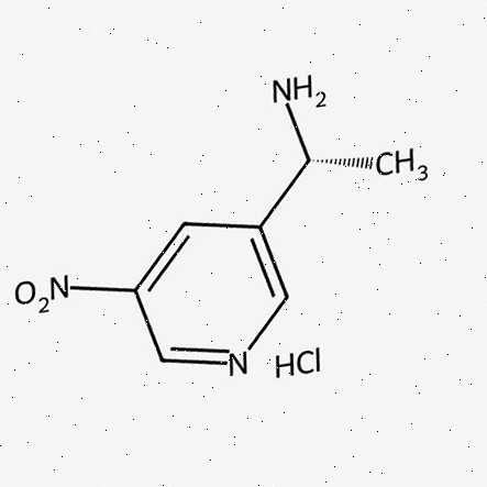 C[C@@H](N)c1cncc([N+](=O)[O-])c1.Cl